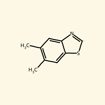 Cc1cc2n[c]sc2cc1C